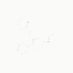 CC(C)(C)OC(=O)N1CCN(c2ncccn2)C(CNc2cccnc2)C1